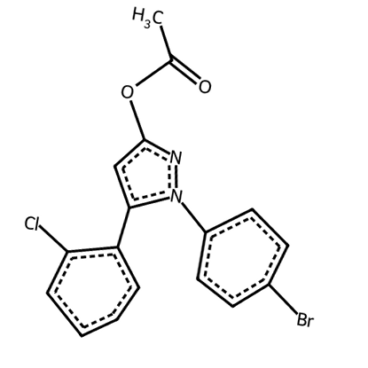 CC(=O)Oc1cc(-c2ccccc2Cl)n(-c2ccc(Br)cc2)n1